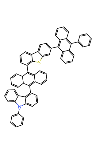 C1=CC2C(c3cccc4c3sc3cc(-c5c6ccccc6c(-c6ccccc6)c6ccccc56)ccc34)=c3ccccc3=C(c3cccc4c3c3ccccc3n4-c3ccccc3)C2C=C1